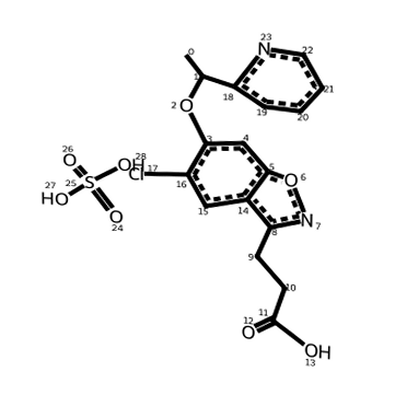 CC(Oc1cc2onc(CCC(=O)O)c2cc1Cl)c1ccccn1.O=S(=O)(O)O